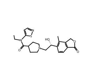 CCN(C(=O)C1CCN(C[C@H](O)c2ccc3c(c2C)COC3=O)CC1)c1ccns1